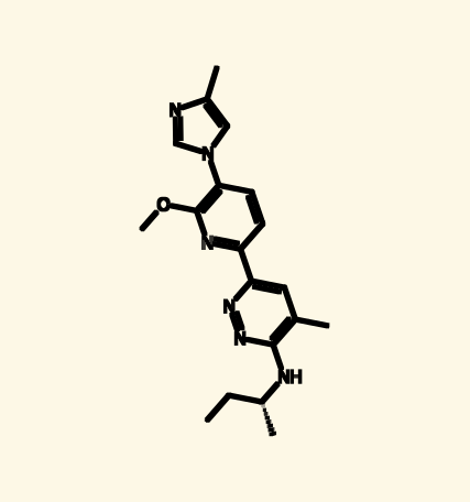 CC[C@@H](C)Nc1nnc(-c2ccc(-n3cnc(C)c3)c(OC)n2)cc1C